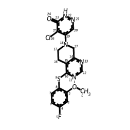 COc1cc(F)ccc1Sc1ncnc2c1CCN(c1cn[nH]c(=O)c1Cl)C2